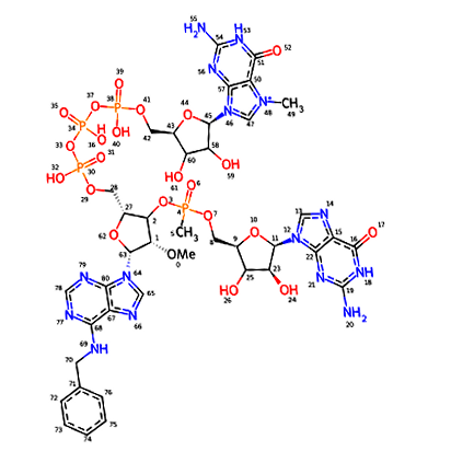 CO[C@H]1C(OP(C)(=O)OC[C@H]2O[C@@H](n3cnc4c(=O)[nH]c(N)nc43)[C@@H](O)C2O)[C@@H](COP(=O)(O)OP(=O)(O)OP(=O)(O)OC[C@H]2O[C@@H](n3c[n+](C)c4c(=O)[nH]c(N)nc43)C(O)C2O)O[C@H]1n1cnc2c(NCc3ccccc3)ncnc21